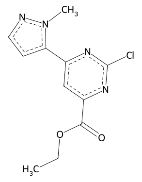 CCOC(=O)c1cc(-c2ccnn2C)nc(Cl)n1